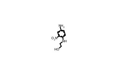 Nc1ccc(NCCO)c([N+](=O)[O-])c1